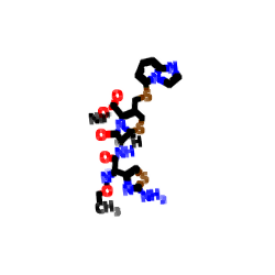 CCO/N=C(/C(=O)N[C@@H]1C(=O)N2C(C(=O)[O-])=C(CSc3cccc4nccn34)CS[C@H]12)c1csc(N)n1.[Na+]